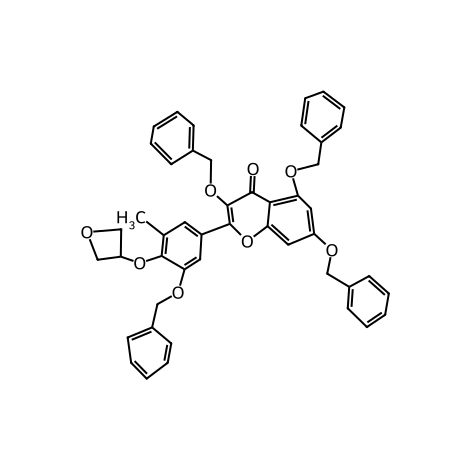 Cc1cc(-c2oc3cc(OCc4ccccc4)cc(OCc4ccccc4)c3c(=O)c2OCc2ccccc2)cc(OCc2ccccc2)c1OC1COC1